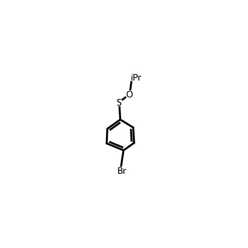 CC(C)OSc1ccc(Br)cc1